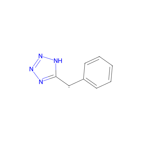 [CH](c1ccccc1)c1nnn[nH]1